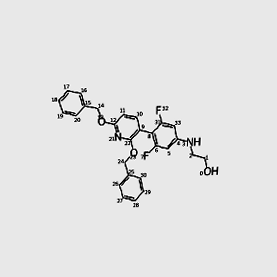 OCCNc1cc(F)c(-c2ccc(OCc3ccccc3)nc2OCc2ccccc2)c(F)c1